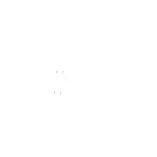 C=CCCOC(=O)CCCCC